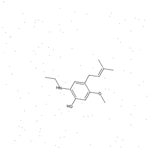 CCNc1cc(CC=C(C)C)c(OC)cc1O